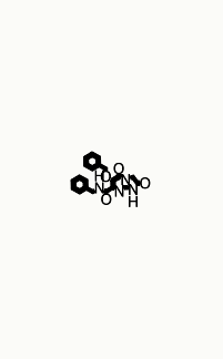 O=C1Cn2c(nc(C(=O)NCc3ccccc3)c(OCc3ccccc3)c2=O)N1